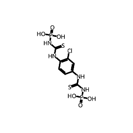 O=P(O)(O)NC(=S)Nc1ccc(NC(=S)NP(=O)(O)O)c(Cl)c1